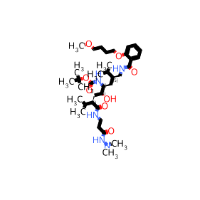 COCCCCOc1ccccc1C(=O)NC[C@@H](C[C@H](NC(=O)OC(C)(C)C)[C@@H](O)C[C@H](C(=O)NCCC(=O)NN(C)C)C(C)C)C(C)C